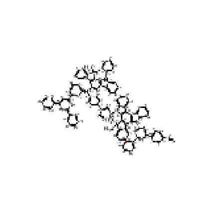 CC1(C)c2ccccc2-c2c1c1c(c3ccccc3n1-c1ccccc1)c1c3cc(-c4cccc(-n5c6ccccc6c6c7c8ccccc8n(-c8nc(-c9ccccc9)nc(-c9ccc(C#N)cc9)n8)c7c7c(c65)C(C)(C)c5ccccc5-7)c4)ccc3n(-c3cccc(-c4cc(-c5ccccc5)nc(-c5ccccc5)n4)c3)c21